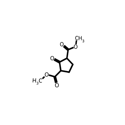 COC(=O)C1CCC(C(=O)OC)C1=O